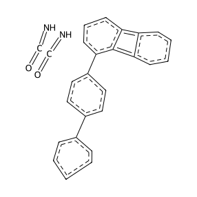 N=C=O.N=C=O.c1ccc(-c2ccc(-c3cccc4c3=c3ccccc3=4)cc2)cc1